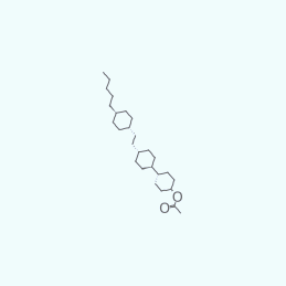 CCCCC[C@H]1CC[C@H](CC[C@H]2CC[C@H]([C@H]3CC[C@H](OC(C)=O)CC3)CC2)CC1